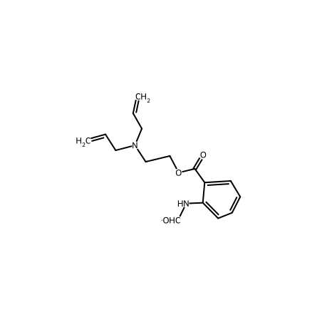 C=CCN(CC=C)CCOC(=O)c1ccccc1N[C]=O